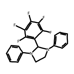 Fc1c(F)c(F)c(C2N(c3ccccc3)CCN2c2ccccc2)c(F)c1F